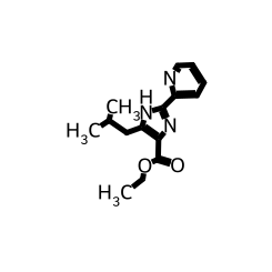 CCOC(=O)c1nc(-c2ccccn2)[nH]c1CC(C)C